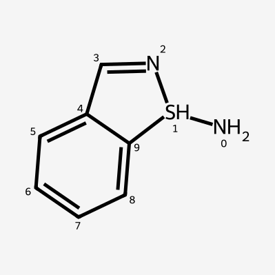 N[SH]1N=Cc2ccccc21